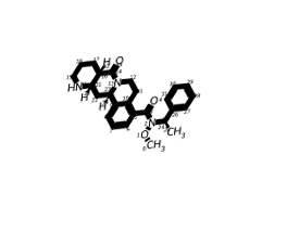 CON(C(=O)c1cccc2c1CCN1C(=O)[C@H]3CCCN[C@H]3C[C@H]21)[C@H](C)c1ccccc1